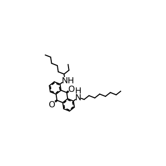 CCCCCCCCNc1cccc2c1C(=O)c1c(NC(CC)CCCCC)cccc1C2=O